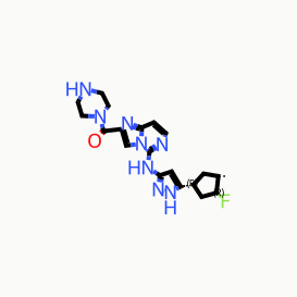 O=C(c1cn2c(Nc3cc([C@@H]4C[CH][C@@H](F)C4)[nH]n3)nccc2n1)N1CCNCC1